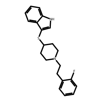 Fc1ccccc1CCN1CCC(Sc2c[nH]c3ccccc23)CC1